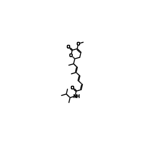 COC1=CCC(C(C)/C=C(C)/C=C/C=C\C(=O)NC(C)C(C)C)OC1=O